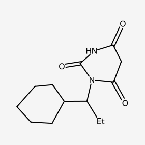 CCC(C1CCCCC1)N1C(=O)CC(=O)NC1=O